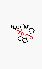 CC1=CCCCC1C(=O)Oc1cccc2cccc(OC(=O)c3cccc(C)c3)c12